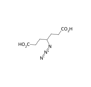 [N-]=[N+]=NC(CCC(=O)O)CCC(=O)O